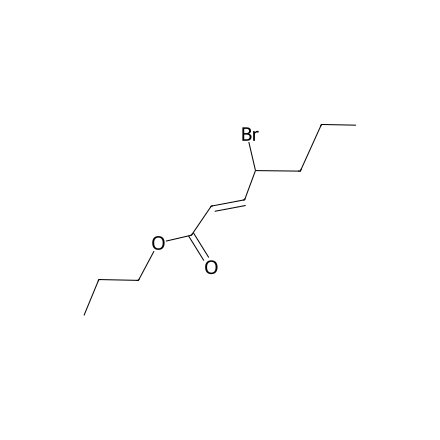 CCCOC(=O)C=CC(Br)CCC